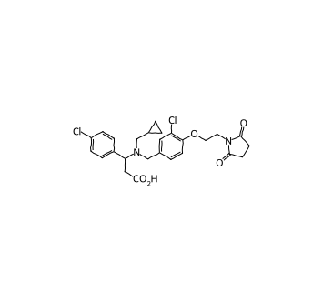 O=C(O)CC(c1ccc(Cl)cc1)N(Cc1ccc(OCCN2C(=O)CCC2=O)c(Cl)c1)CC1CC1